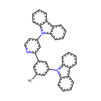 N#Cc1cc(-c2cc(-n3c4ccccc4c4ccccc43)ccn2)cc(-n2c3ccccc3c3ccccc32)c1